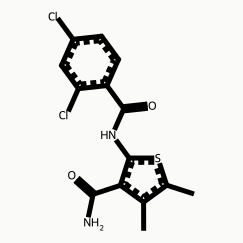 Cc1sc(NC(=O)c2ccc(Cl)cc2Cl)c(C(N)=O)c1C